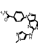 Cn1cc(Nc2ncc3cnn(-c4ccc(C(N)=O)cc4)c3n2)cn1